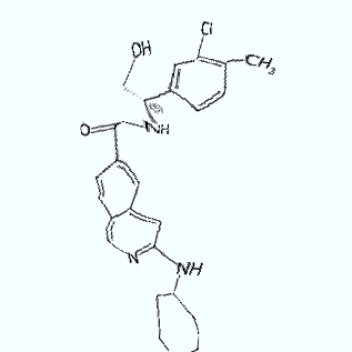 Cc1ccc([C@@H](CO)NC(=O)c2ccc3cnc(NC4CCOCC4)cc3c2)cc1Cl